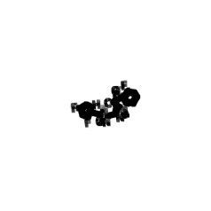 Cc1c2c(-c3noc(-c4ccc(F)cc4F)n3)ncn2c2cccc(F)c2[n+]1[O-]